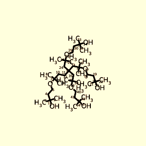 CC(C)(O)CCOC(C)(C)CCC(CC(C)(C)OCCC(C)(C)O)(CC(C)(C)OCCC(C)(C)O)CC(C)(C)OCCC(C)(C)O